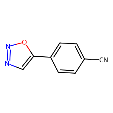 N#Cc1ccc(-c2cnno2)cc1